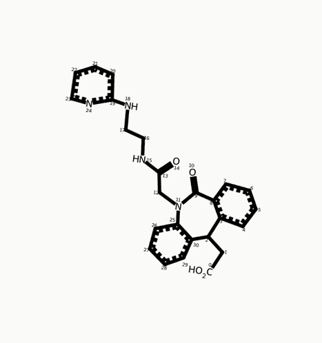 O=C(O)CC1c2ccccc2C(=O)N(CC(=O)NCCNc2ccccn2)c2ccccc21